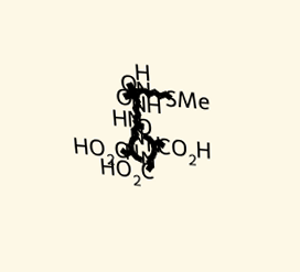 CSCCCCNc1c(NCCNC(=O)CN2CCN(CC(=O)O)CCN(CC(=O)O)CCN(CC(=O)O)CC2)c(=O)c1=O